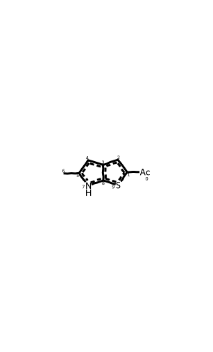 CC(=O)c1cc2cc(C)[nH]c2s1